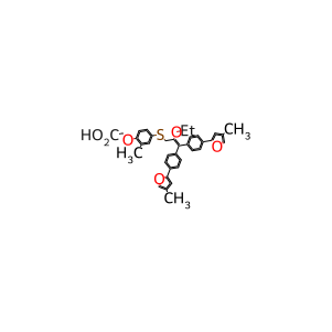 CCOC(CSc1ccc(OCC(=O)O)c(C)c1)=C(c1ccc(-c2cc(C)co2)cc1)c1ccc(-c2cc(C)co2)cc1